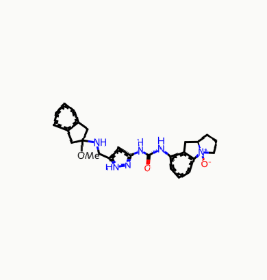 COC1(NCc2cc(NC(=O)Nc3cccc4c3CC3CCC[N+]43[O-])n[nH]2)Cc2ccccc2C1